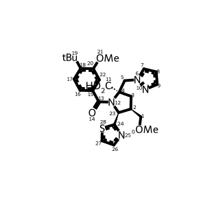 COC[C@@H]1C[C@@](Cn2cccn2)(C(=O)O)N(C(=O)c2ccc(C(C)(C)C)c(OC)c2)[C@@H]1c1nccs1